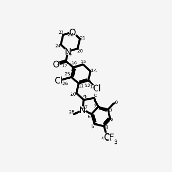 Cc1cc(C(F)(F)F)cc2c1CC(CC1=C(Cl)CCC(C(=O)N3CCOCC3)=C1Cl)N2C